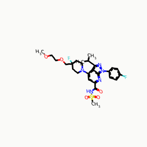 COCCOCC1(F)CCN(c2cc(C(=O)NS(C)(=O)=O)nc3c2c(C(C)C)nn3-c2ccc(F)cc2)CC1